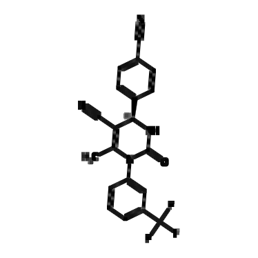 CC1=C(C#N)[C@@H](c2ccc(C#N)cc2)NC(=O)N1c1cccc(C(F)(F)F)c1